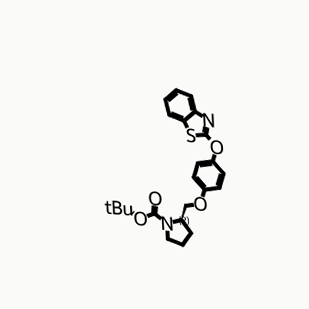 CC(C)(C)OC(=O)N1CCC[C@@H]1COc1ccc(Oc2nc3ccccc3s2)cc1